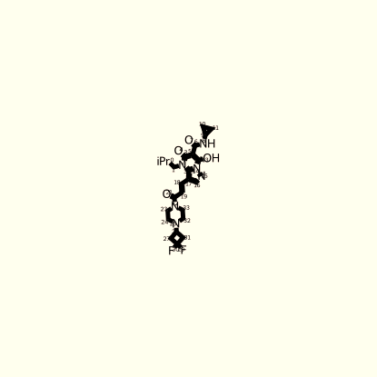 CC(C)Cn1c(=O)c(C(=O)NC2CC2)c(O)n2ncc(/C=C/C(=O)N3CCN(C4CC(F)(F)C4)CC3)c12